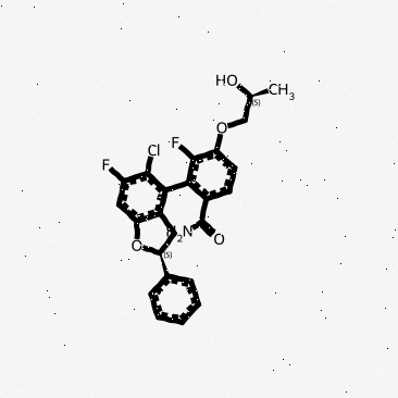 C[C@H](O)COc1ccc(C(N)=O)c(-c2c(Cl)c(F)cc3c2C[C@@H](c2ccccc2)O3)c1F